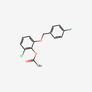 CCCCC(=O)Oc1c(Cl)cccc1OCc1ccc(F)cc1